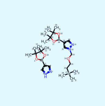 CC1(C)OB(c2cn[nH]c2)OC1(C)C.CC1(C)OB(c2cnn(COCC[Si](C)(C)C)c2)OC1(C)C